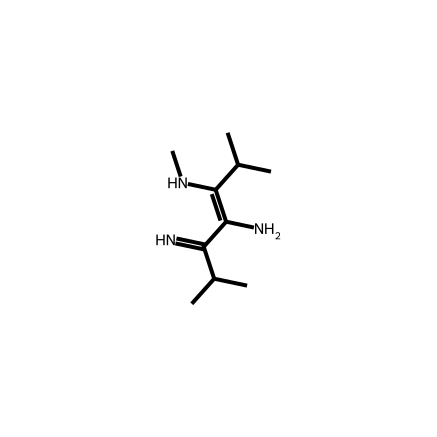 CN/C(=C(/N)C(=N)C(C)C)C(C)C